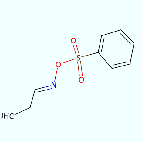 O=CC/C=N/OS(=O)(=O)c1ccccc1